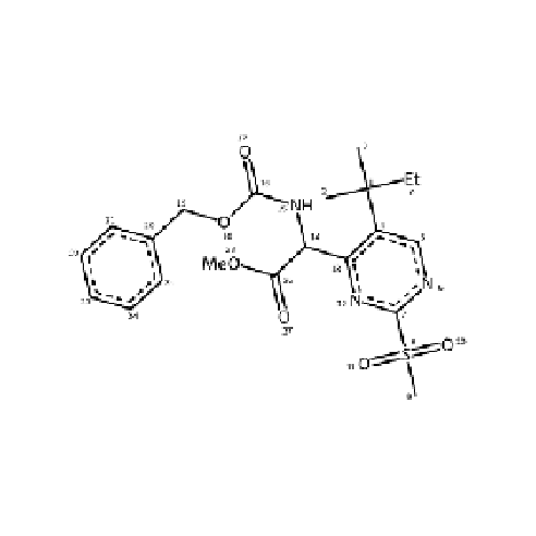 CCC(C)(C)c1cnc(S(C)(=O)=O)nc1C(NC(=O)OCc1ccccc1)C(=O)OC